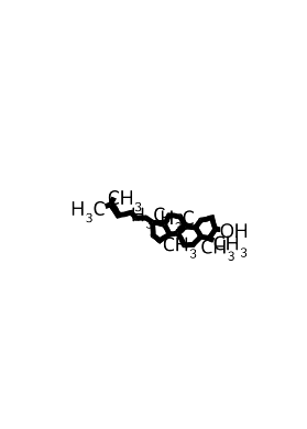 CC(C)=CCCCC1CCC2(C)C3=C(CCC12C)C1(C)CCC(O)C(C)(C)C1CC3